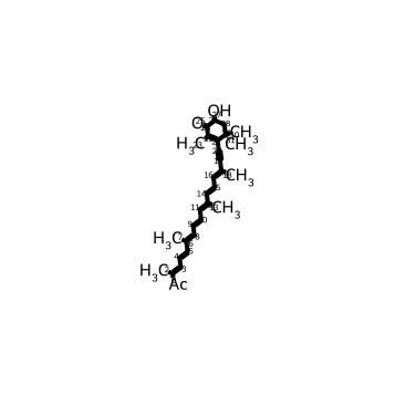 CC(=O)/C(C)=C/C=C/C(C)=C/C=C/C=C(C)/C=C/C=C(\C)C#CC1=C(C)C(=O)C(O)CC1(C)C